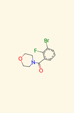 O=C(c1cccc(Br)c1F)N1CCOCC1